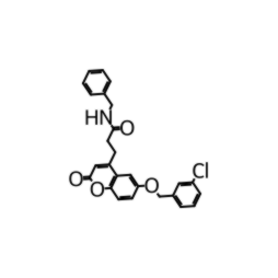 O=C(CCc1cc(=O)oc2ccc(OCc3cccc(Cl)c3)cc12)NCc1ccccc1